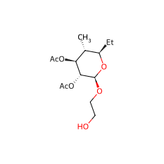 CC[C@H]1O[C@@H](OCCO)[C@H](OC(C)=O)[C@@H](OC(C)=O)[C@@H]1C